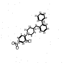 O=[N+]([O-])c1ccc(N2CCC(Cc3ccccc3-c3ccccc3)CC2)c(Cl)c1